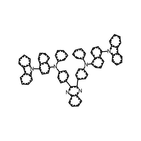 c1ccc(N(c2ccc(-c3nc4ccccc4nc3-c3ccc(N(c4ccccc4)c4ccc(-n5c6ccccc6c6ccccc65)c5ccccc45)cc3)cc2)c2cccc3c(-n4c5ccccc5c5ccccc54)cccc23)cc1